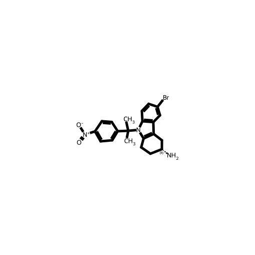 CC(C)(c1ccc([N+](=O)[O-])cc1)n1c2c(c3cc(Br)ccc31)C[C@H](N)CC2